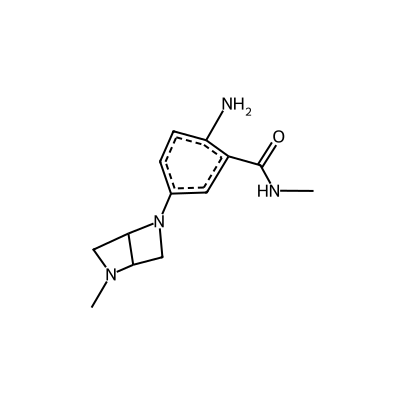 CNC(=O)c1cc(N2CC3C2CN3C)ccc1N